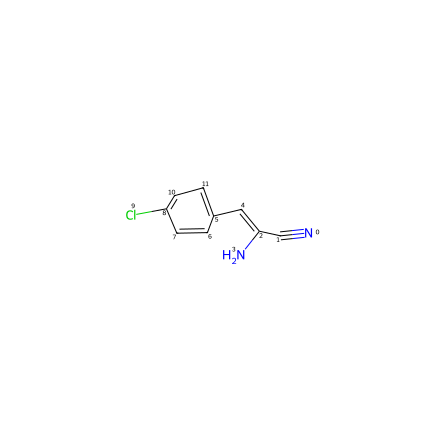 N#CC(N)=Cc1ccc(Cl)cc1